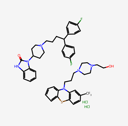 Cl.Cl.O=c1[nH]c2ccccc2n1C1CCN(CCCC(c2ccc(F)cc2)c2ccc(F)cc2)CC1.OCCN1CCN(CCCN2c3ccccc3Sc3ccc(C(F)(F)F)cc32)CC1